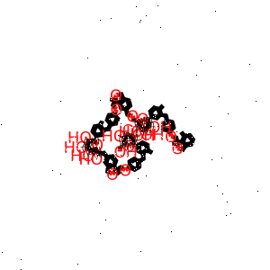 Cc1ccc([C@@H]2O[C@H]([C@@H](O)Cc3ccc4c(c3)COC4(C)COc3ccc(Cc4cc([C@@H]5O[C@H](CO)[C@@H](O)[C@H](O)[C@H]5O)ccc4C)cc3)[C@@H](O)[C@H](O)[C@H]2O)cc1Cc1ccc(OCC2(C)OCc3ccc(COC[C@H]4O[C@@H](c5ccc(C)c(Cc6ccc(OCC7(C)OCc8cccc(C)c87)cc6)c5)[C@H](O)[C@@H](O)[C@@H]4O)cc32)cc1